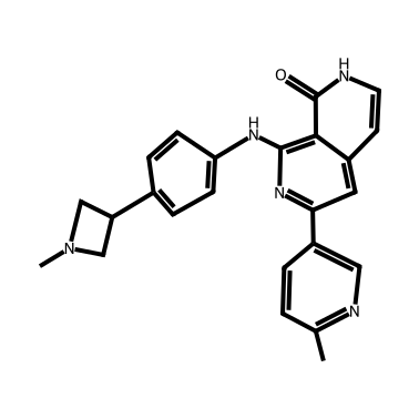 Cc1ccc(-c2cc3cc[nH]c(=O)c3c(Nc3ccc(C4CN(C)C4)cc3)n2)cn1